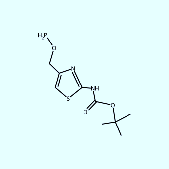 CC(C)(C)OC(=O)Nc1nc(COP)cs1